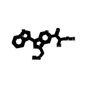 CCCCCC(CC)C(=O)c1cc2c(cn1)c(-c1cnn3ccccc13)nn2CSC